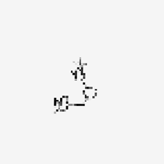 Cc1cc(C(C)(C)Cc2cccc(-c3cnn(C(C)(C)C)c3)c2)on1